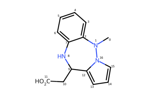 CN1c2ccccc2NC(CC(=O)O)c2cccn21